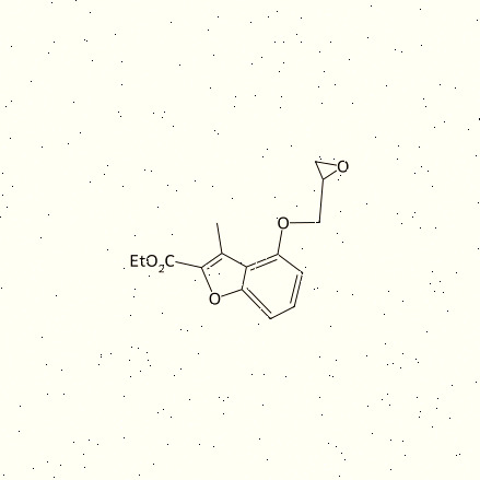 CCOC(=O)c1oc2cccc(OCC3CO3)c2c1C